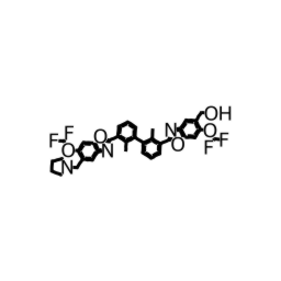 Cc1c(-c2nc3cc(CO)c(OC(F)F)cc3o2)cccc1-c1cccc(-c2nc3cc(CN4CCCC4)c(OC(F)F)cc3o2)c1C